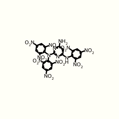 Nc1cc(Nc2c([N+](=O)[O-])cc([N+](=O)[O-])cc2[N+](=O)[O-])nc(N(c2c([N+](=O)[O-])cc([N+](=O)[O-])cc2[N+](=O)[O-])c2c([N+](=O)[O-])cc([N+](=O)[O-])cc2[N+](=O)[O-])n1